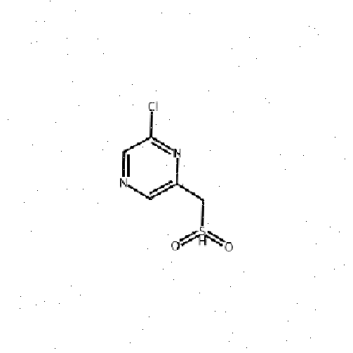 O=[SH](=O)Cc1cncc(Cl)n1